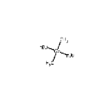 CCC[CH2][Ge]([CH3])([CH3])[CH2]CCC